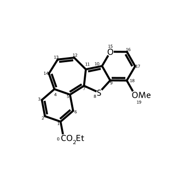 CCOC(=O)c1ccc2c(c1)=c1sc3c(c1C=CC=2)OC=CC=3OC